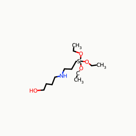 CCO[Si](CCCNCCCCO)(OCC)OCC